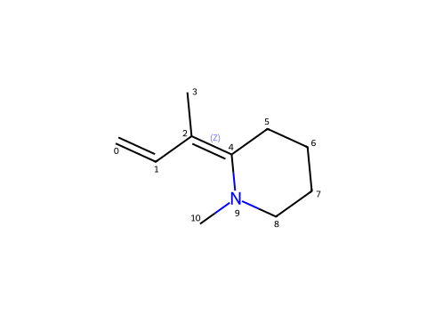 C=C/C(C)=C1/CCCCN1C